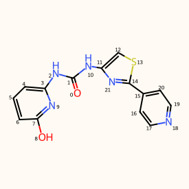 O=C(Nc1cccc(O)n1)Nc1csc(-c2ccncc2)n1